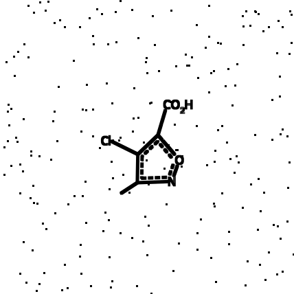 Cc1noc(C(=O)O)c1Cl